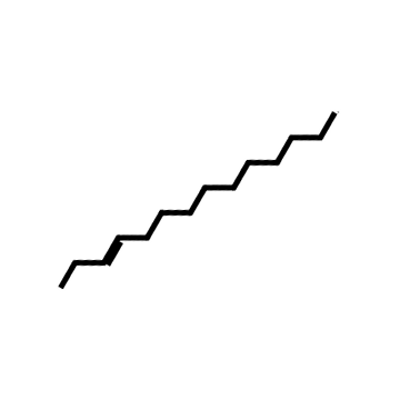 [CH2]CCCCCCCCCC=CCC